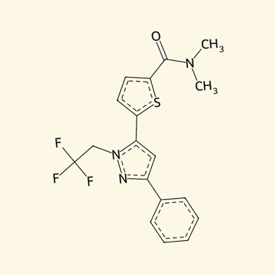 CN(C)C(=O)c1ccc(-c2cc(-c3ccccc3)nn2CC(F)(F)F)s1